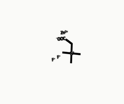 C[N+](C)(C)CC(=O)[O-].[F-].[F-].[Zn+2]